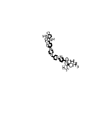 CC(C)(C)OC(=O)c1ccc(N2CCC(CN3CCN(c4ccc(C(=O)N[C@@H]5CCC(=O)NC5=O)nc4)CC3)CC2)nc1